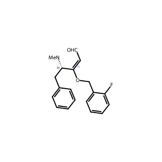 CN[C@@H](Cc1ccccc1)/C(=C\C=O)OCc1ccccc1F